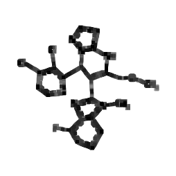 COCC1=C(c2nc3c(F)cccc3n2C)C(c2cccc(Cl)c2Cl)n2nccc2N1